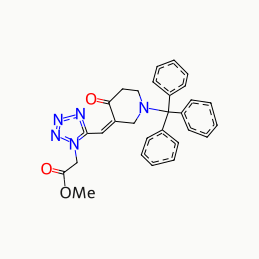 COC(=O)Cn1nnnc1/C=C1/CN(C(c2ccccc2)(c2ccccc2)c2ccccc2)CCC1=O